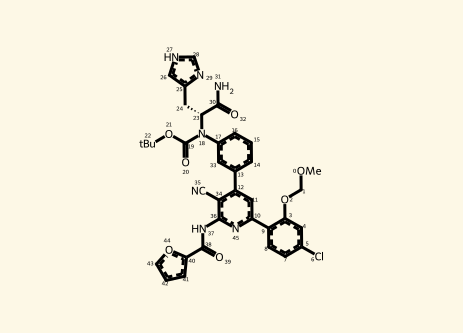 COCOc1cc(Cl)ccc1-c1cc(-c2cccc(N(C(=O)OC(C)(C)C)[C@H](Cc3c[nH]cn3)C(N)=O)c2)c(C#N)c(NC(=O)c2ccco2)n1